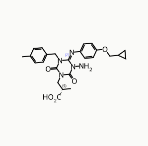 Cc1ccc(Cn2c(=O)n(C[C@H](C)C(=O)O)c(=O)n(N)/c2=N\c2ccc(OCC3CC3)cc2)cc1